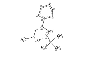 CCC[C@@H](N[S@@+]([O-])C(C)(C)C)c1ccccc1